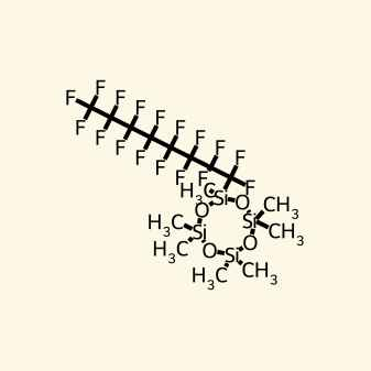 C[Si]1(C)O[Si](C)(C)O[Si](C)(C(F)(F)C(F)(F)C(F)(F)C(F)(F)C(F)(F)C(F)(F)C(F)(F)C(F)(F)F)O[Si](C)(C)O1